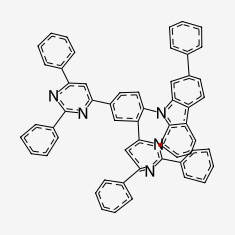 c1ccc(-c2ccc3c4ccccc4n(-c4ccc(-c5cc(-c6ccccc6)nc(-c6ccccc6)n5)cc4-c4cc(-c5ccccc5)nc(-c5ccccc5)n4)c3c2)cc1